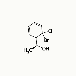 C[C@H](O)C1C=CC=CC1(Cl)Br